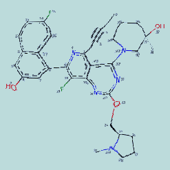 CC#Cc1nc(-c2cc(O)cc3ccc(F)cc23)c(F)c2nc(OC[C@H]3CCCN3C)nc(N3CCC[C@@](C)(O)C3)c12